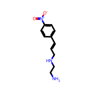 NCCNCC=Cc1ccc([N+](=O)[O-])cc1